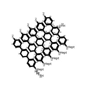 CCCCCCCc1ccc(C2CC=C(c3ccc([S])cc3)CC2)cc1.CCCCCCCc1ccc(C2CC=C(c3ccc([S])cc3)CC2)cc1.CCCCCCCc1ccc(C2CC=C(c3ccc([S])cc3)CC2)cc1.CCCCCCCc1ccc(C2CC=C(c3ccc([S])cc3)CC2)cc1.CCCCCCCc1ccc(C2CC=C(c3ccc([S])cc3)CC2)cc1.F.F.F.F.F